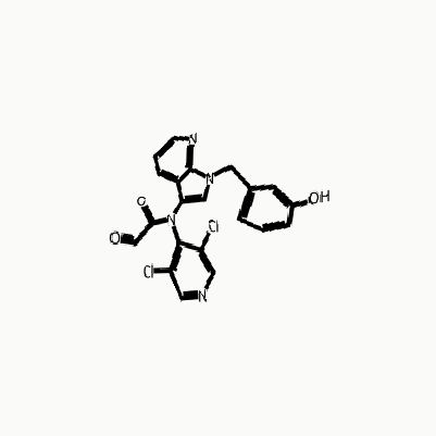 O=CC(=O)N(c1c(Cl)cncc1Cl)c1cn(Cc2cccc(O)c2)c2ncccc12